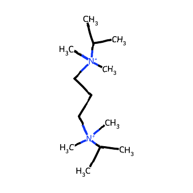 CC(C)[N+](C)(C)CCC[N+](C)(C)C(C)C